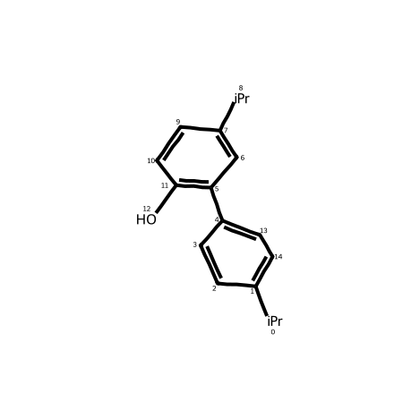 CC(C)c1ccc(-c2cc(C(C)C)ccc2O)cc1